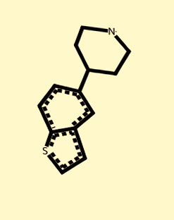 c1cc2cc(C3CC[N]CC3)ccc2s1